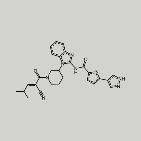 CC(C)C=C(C#N)C(=O)N1CCCC(n2c(NC(=O)c3ccc(-c4cn[nH]c4)s3)nc3ccccc32)C1